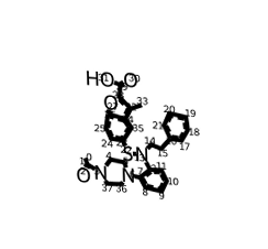 CC(=O)N1CCN(c2ccccc2N(CCc2ccccc2)Sc2ccc3oc(C(=O)O)c(C)c3c2)CC1